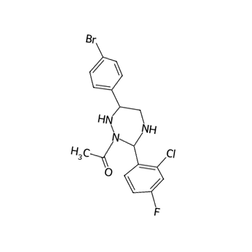 CC(=O)N1NC(c2ccc(Br)cc2)CNC1c1ccc(F)cc1Cl